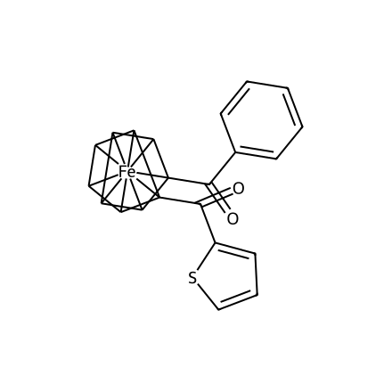 O=C(c1ccccc1)[C]12[CH]3[CH]4[CH]5[CH]1[Fe]45321678[CH]2[CH]1[CH]6[C]7(C(=O)c1cccs1)[CH]28